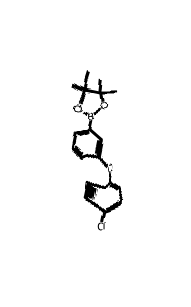 CC1(C)OB(c2cccc(Oc3ccc(Cl)cc3)c2)OC1(C)C